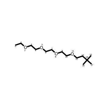 CCOCCOCCOCCOCCC(C)(C)C